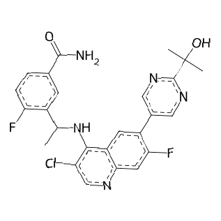 CC(Nc1c(Cl)cnc2cc(F)c(-c3cnc(C(C)(C)O)nc3)cc12)c1cc(C(N)=O)ccc1F